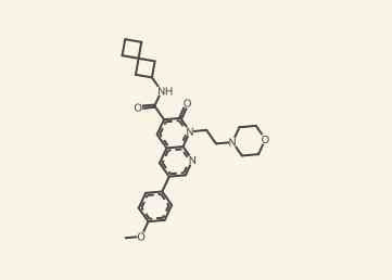 COc1ccc(-c2cnc3c(c2)cc(C(=O)NC2CC4(CCC4)C2)c(=O)n3CCN2CCOCC2)cc1